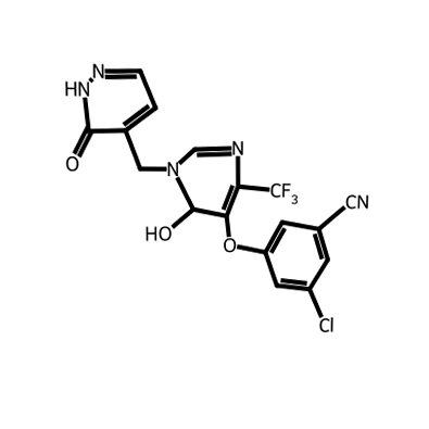 N#Cc1cc(Cl)cc(OC2=C(C(F)(F)F)N=CN(Cc3ccn[nH]c3=O)C2O)c1